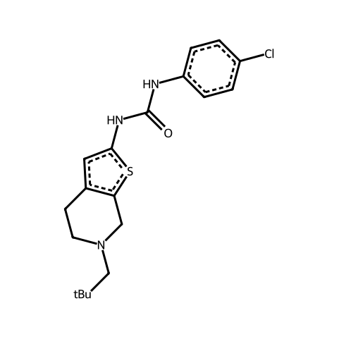 CC(C)(C)CN1CCc2cc(NC(=O)Nc3ccc(Cl)cc3)sc2C1